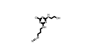 [N-]=[N+]=NCCCNc1nc(Cl)nc(NCCO)n1